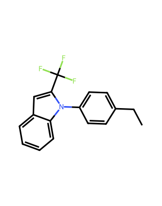 CCc1ccc(-n2c(C(F)(F)F)cc3ccccc32)cc1